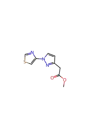 COC(=O)Cc1ccn(-c2cscn2)n1